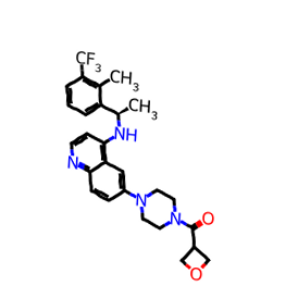 Cc1c([C@@H](C)Nc2ccnc3ccc(N4CCN(C(=O)C5COC5)CC4)cc23)cccc1C(F)(F)F